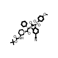 COc1ccc(S(=O)(=O)n2c(=O)n([C@H](C(=O)N3CCCC(NC(=O)OC(C)(C)C)C3)c3ccccc3)c3cc(C#N)ccc32)cc1